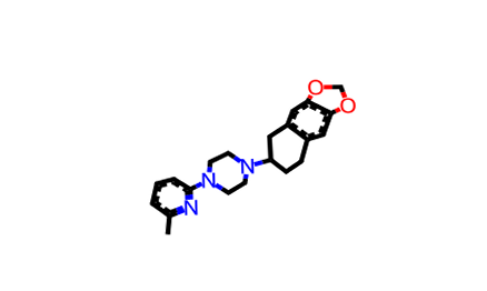 Cc1cccc(N2CCN(C3CCc4cc5c(cc4C3)OCO5)CC2)n1